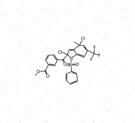 COC(=O)c1cccc(C(=O)C2(Cl)C=C3C(=CC(C(F)(F)F)=CC3(C)Cl)N2S(=O)(=O)c2ccccc2)c1